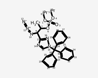 CC(C)OP(=O)(OC(C)C)OC(C)C(N=[N+]=[N-])c1ncn(C(c2ccccc2)(c2ccccc2)c2ccccc2)n1